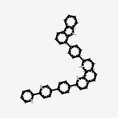 c1ccc(-c2ccc(-c3ccc(-c4ccc5ccc6ccc(-c7ccc(-c8cccc9c8sc8ccccc89)cc7)nc6c5n4)cc3)cn2)nc1